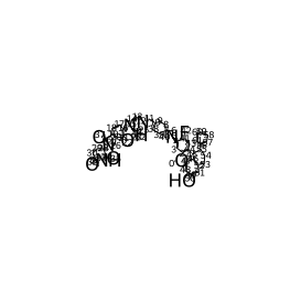 COc1cc(N2CC3(CCC(CN4CCN5c6ccc7c(c6OC[C@H]5C4)CN([C@H]4CCC(=O)NC4=O)C7=O)CC3)C2)c(F)cc1[C@@H]1c2ccc(O)cc2CC[C@@H]1c1ccccc1